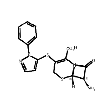 N[C@@H]1C(=O)N2C(C(=O)O)=C(Sc3ccnn3-c3ccccc3)CS[C@@H]12